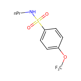 CCCNS(=O)(=O)c1ccc(OC(F)(F)F)cc1